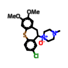 COc1cc2c(cc1OC)Sc1ccc(Cl)cc1C([N+]1([O-])CCN(C)CC1)C2